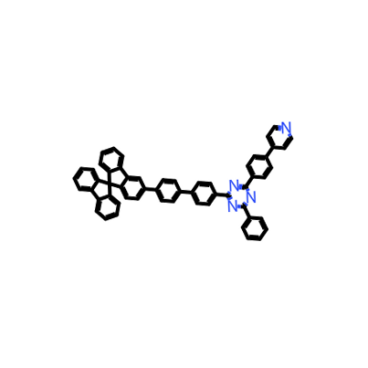 c1ccc(-c2nc(-c3ccc(-c4ccncc4)cc3)nc(-c3ccc(-c4ccc(-c5ccc6c(c5)-c5ccccc5C65c6ccccc6-c6ccccc65)cc4)cc3)n2)cc1